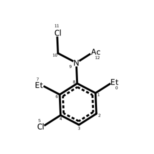 CCc1ccc(Cl)c(CC)c1N(CCl)C(C)=O